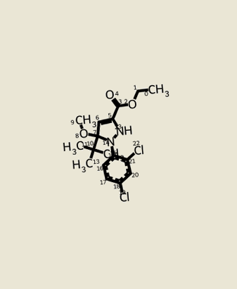 CCOC(=O)C1=CC(OC)(C(C)(C)C)N(c2ccc(Cl)cc2Cl)N1